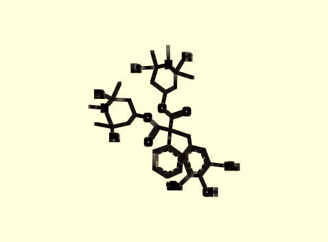 CCC1(C)CC(OC(=O)C(Cc2cc(C(C)(C)C)c(O)c(C(C)(C)C)c2)(C(=O)OC2CC(C)(CC)N(C)C(C)(CC)C2)c2ccccc2)CC(C)(CC)N1C